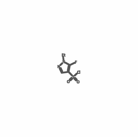 CCn1ncc(S(=O)(=O)Cl)c1F